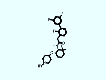 CC(C)N1CCC(O[C@H]2CCCC(F)(F)[C@@H]2NC(=O)Cc2cccc(-c3cc(F)cc(F)c3)c2F)CC1